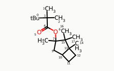 CC(C)(C)C(C)(C)C(=O)OC1(C)CC2CCC2(C)C1(C)C